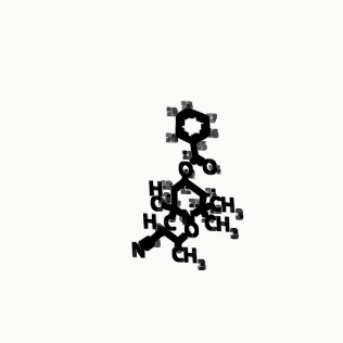 CC(CC#N)ON1C(C)(C)CC(OC(=O)c2ccccc2)CC1(C)C